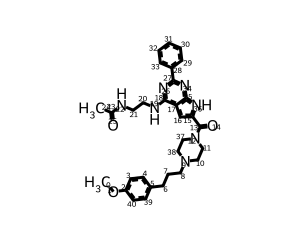 COc1ccc(CCCN2CCN(C(=O)c3cc4c(NCCNC(C)=O)nc(-c5ccccc5)nc4[nH]3)CC2)cc1